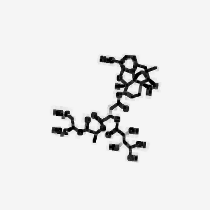 COc1ccc2c3c1O[C@H]1C(OC(=O)C[C@H](OC(=O)[C@H](O)[C@@H](O)C(O)O)C(=O)O[C@@H](C)C(=O)O[C@H](CC(=O)O)C(=O)O)=CC[C@@]4(O)[C@@H](C2)C(C)CC[C@]314